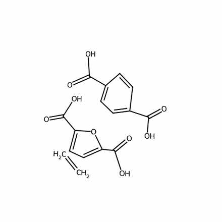 C=C.O=C(O)c1ccc(C(=O)O)cc1.O=C(O)c1ccc(C(=O)O)o1